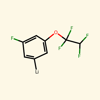 [Li][c]1cc(F)cc(OC(F)(F)C(F)F)c1